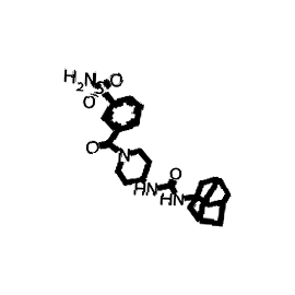 NS(=O)(=O)c1cccc(C(=O)N2CCC(NC(=O)NC34CC5CC(CC(C5)C3)C4)CC2)c1